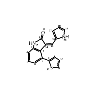 O=C1Nc2cccc(-c3cccs3)c2C1=Cc1ccc[nH]1